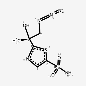 C[C@@](O)(CN=[N+]=[N-])c1ncc(S(N)(=O)=O)s1